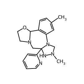 Cc1ccc2c(c1)N1CN(C)NC1(c1ccccn1)CN1CCOC21